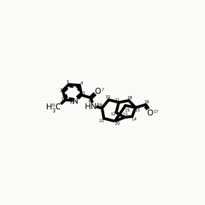 Cc1cccc(C(=O)NC2CC3CC4CC(C=O)(C3)CC4C2)n1